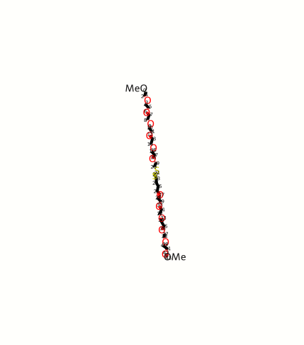 COCCOCCOCCOCCOCCOCCOCCSSCCCCOCCOCCOCCOCCOCCOOC